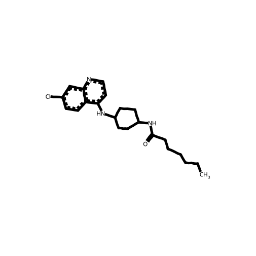 CCCCCCC(=O)NC1CCC(Nc2ccnc3cc(Cl)ccc23)CC1